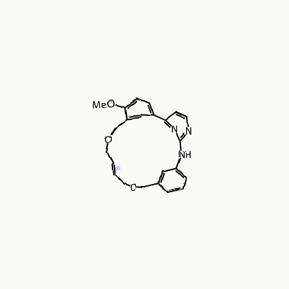 COc1ccc2cc1COC/C=C/COCc1cccc(c1)Nc1nccc-2n1